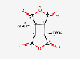 COC12C(=O)OC(=O)C1C1(OC)C(=O)OC(=O)C21